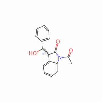 CC(=O)N1C(=O)/C(=C(/O)c2ccccc2)c2ccccc21